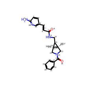 Nc1ccc(/C=C/C(=O)NCC2[C@H]3CN(C(=O)c4ccccc4)C[C@@H]23)cn1